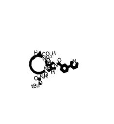 CC(C)(C)OC(=O)N[C@@H]1CCCCC/C=C\[C@H]2C[C@@]2(C(=O)O)NC(=O)[C@@H]2[C@H]3CN(C(=O)c4cccc(-c5cccnc5)c4)C[C@H]3CN2C1=O